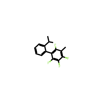 Cc1c(F)c(F)c(F)c(-c2ccccc2C(C)C)c1F